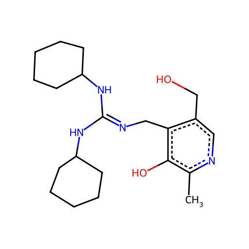 Cc1ncc(CO)c(CN=C(NC2CCCCC2)NC2CCCCC2)c1O